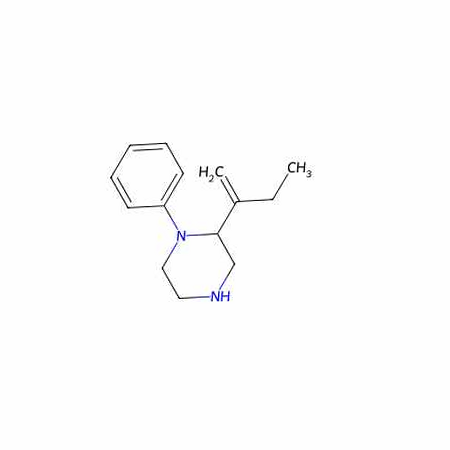 C=C(CC)C1CNCCN1c1ccccc1